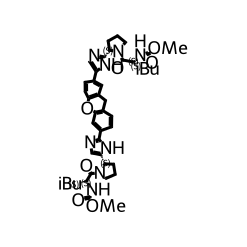 CC[C@H](C)[C@H](NC(=O)OC)C(=O)N1CCC[C@H]1c1cnc(-c2ccc3c(c2)Oc2ccc(-c4cnc([C@@H]5CCCN5C(=O)[C@@H](NC(=O)OC)[C@@H](C)CC)[nH]4)cc2C3)[nH]1